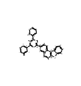 c1ccc(-c2nc(-c3ccccc3)nc(-c3ccc4c(ccc5sc6ccccc6c54)c3)n2)cc1